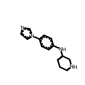 c1cn(-c2ccc(NC3CCCNC3)cc2)cn1